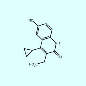 N#Cc1ccc2[nH]c(=O)c(CC(=O)O)c(C3CC3)c2c1